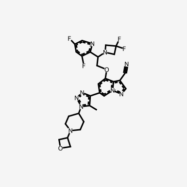 Cc1c(-c2cc(OCC(c3ncc(F)cc3F)N3CC(F)(F)C3)c3c(C#N)cnn3c2)nnn1C1CCN(C2COC2)CC1